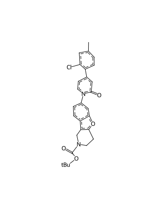 Cc1ccc(-c2ccn(-c3ccc4c5c(oc4c3)CCN(C(=O)OC(C)(C)C)C5)c(=O)c2)c(Cl)c1